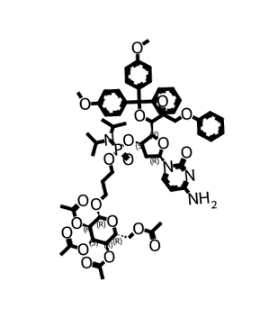 COc1ccc(C(OC(C(=O)COc2ccccc2)[C@H]2O[C@@H](n3ccc(N)nc3=O)C[C@@H]2OP(=O)(OCCCO[C@@H]2O[C@H](COC(C)=O)[C@@H](OC(C)=O)[C@H](OC(C)=O)[C@H]2OC(C)=O)N(C(C)C)C(C)C)(c2ccccc2)c2ccc(OC)cc2)cc1